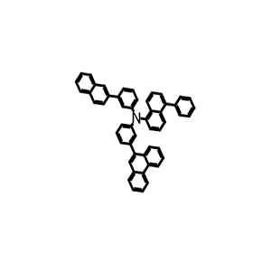 c1ccc(-c2cccc3c(N(c4cccc(-c5ccc6ccccc6c5)c4)c4cccc(-c5cc6ccccc6c6ccccc56)c4)cccc23)cc1